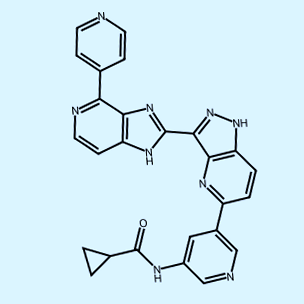 O=C(Nc1cncc(-c2ccc3[nH]nc(-c4nc5c(-c6ccncc6)nccc5[nH]4)c3n2)c1)C1CC1